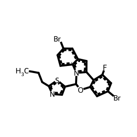 CCCc1ncc(C2Oc3cc(Br)cc(F)c3-c3cc4cc(Br)ccc4n32)s1